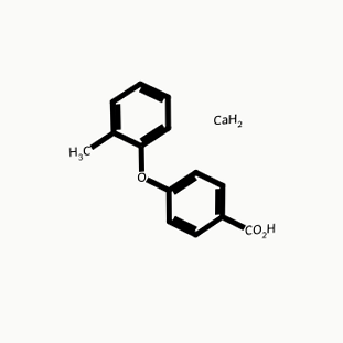 Cc1ccccc1Oc1ccc(C(=O)O)cc1.[CaH2]